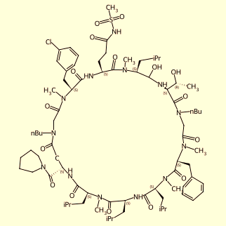 CCCCN1CC(=O)N(C)[C@@H](Cc2cccc(Cl)c2)C(=O)N[C@@H](CCC(=O)NS(C)(=O)=O)C(=O)N(C)[C@@H](CC(C)C)C(O)N[C@@H]([C@@H](C)O)C(=O)N(CCCC)CC(=O)N(C)[C@@H](Cc2ccccc2)C(=O)N(C)[C@@H](CC(C)C)C(=O)N[C@@H](CC(C)C)C(=O)N(C)[C@@H](CC(C)C)C(=O)N[C@H](C(=O)N2CCCCC2)CC1=O